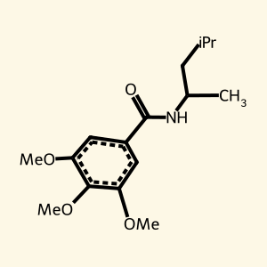 COc1cc(C(=O)NC(C)CC(C)C)cc(OC)c1OC